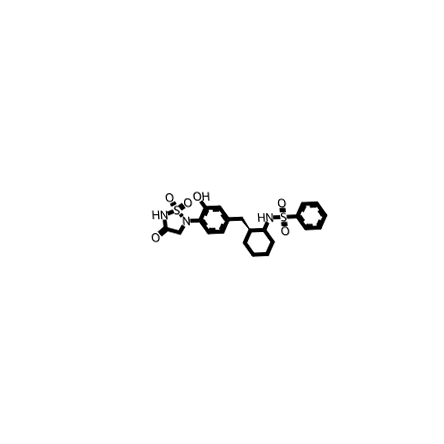 O=C1CN(c2ccc(C[C@@H]3CCCCC3NS(=O)(=O)c3ccccc3)cc2O)S(=O)(=O)N1